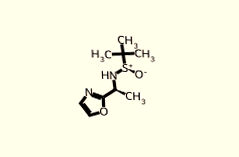 C[C@H](N[S@+]([O-])C(C)(C)C)c1ncco1